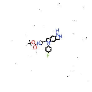 CC(C)(C)OC(=O)N1CC(c2cc3cc4[nH]ncc4cc3n2-c2ccc(F)cc2)C1